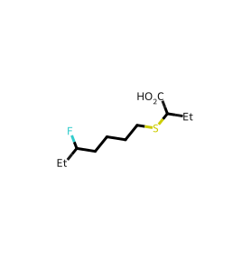 CCC(F)CCCCSC(CC)C(=O)O